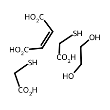 O=C(O)/C=C\C(=O)O.O=C(O)CS.O=C(O)CS.OCCO